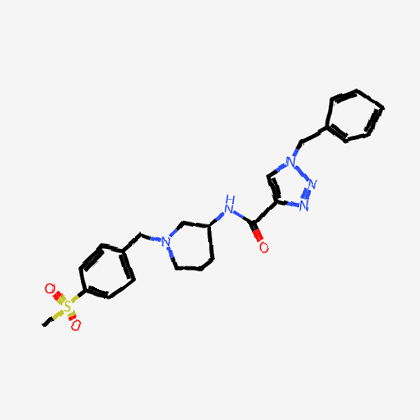 CS(=O)(=O)c1ccc(CN2CCCC(NC(=O)c3cn(Cc4ccccc4)nn3)C2)cc1